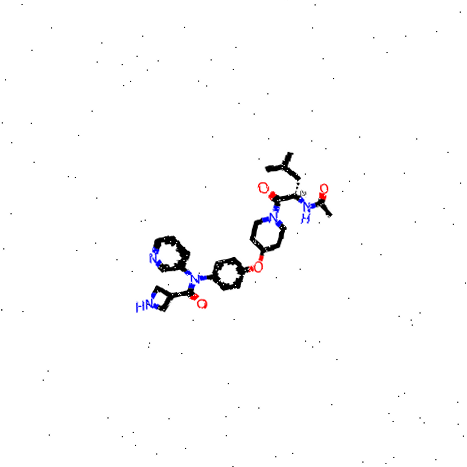 CC(=O)N[C@@H](CC(C)C)C(=O)N1CCC(Oc2ccc(N(C(=O)C3CNC3)c3cccnc3)cc2)CC1